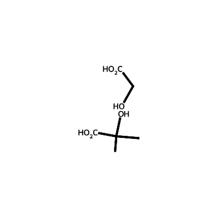 CC(C)(O)C(=O)O.O=C(O)CO